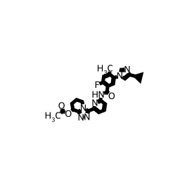 CC(=O)OC1CCCn2c(-c3cccc(NC(=O)c4cc(-n5cnc(C6CC6)c5)c(C)cc4F)n3)nnc21